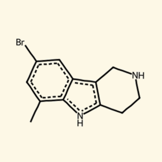 Cc1cc(Br)cc2c3c([nH]c12)CCNC3